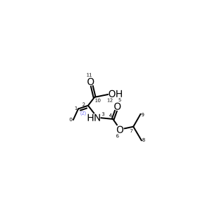 C/C=C(\NC(=O)OC(C)C)C(=O)O